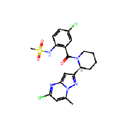 Cc1cc(Cl)nc2cc([C@@H]3CCCCN3C(=O)c3cc(Cl)ccc3NS(C)(=O)=O)nn12